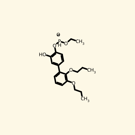 CCCOc1cccc(-c2ccc(O[PH](=O)OCC)c(O)c2)c1OCCC